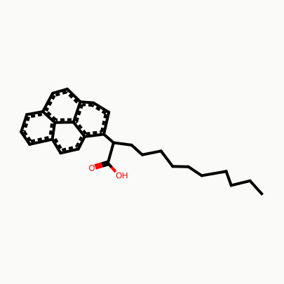 CCCCCCCCCCC(C(=O)O)c1ccc2ccc3cccc4ccc1c2c34